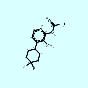 Cc1c(C2CCC(F)(F)CC2)ccnc1OC(=O)O